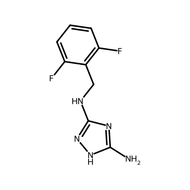 Nc1nc(NCc2c(F)cccc2F)n[nH]1